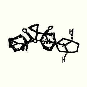 O=C(NC1CC1)c1ccc(N2[C@@H]3CC[C@H]2C[C@@H](NC(=O)C2(Oc4ccccc4)CC2)C3)nc1